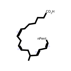 CCCCC/C=C\C=C\C(C)C/C=C\C/C=C\CCCCCC(=O)O